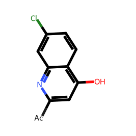 CC(=O)c1cc(O)c2ccc(Cl)cc2n1